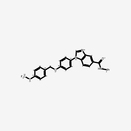 CC(C)NC(=O)c1ccc2c(c1)ncn2-c1ccc(OCc2ccc(SC(F)(F)F)cc2)cc1